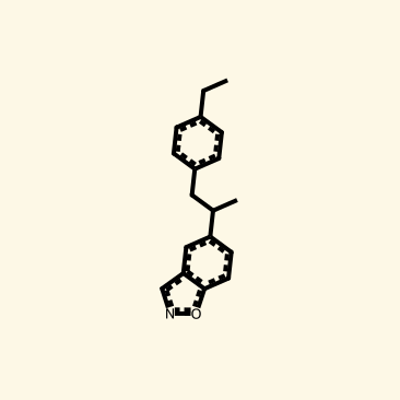 CCc1ccc(CC(C)c2ccc3oncc3c2)cc1